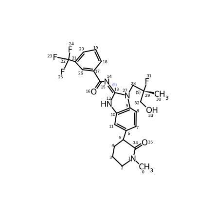 CN1CCCC(c2ccc3c(c2)[nH]/c(=N\C(=O)c2cccc(C(F)(F)F)c2)n3C[C@](C)(F)CO)C1=O